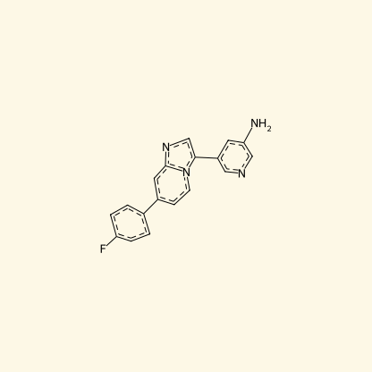 Nc1cncc(-c2cnc3cc(-c4ccc(F)cc4)ccn23)c1